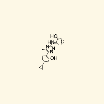 Cc1nc(N[C@@H]2CCOC[C@H]2O)nnc1-c1ccc(C2CC2)cc1O